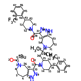 CC(C)(C)C(=O)N1CCCc2[nH]nc(C(=O)N3CCC(c4ccccc4C(F)(F)F)CC3CC(C)(C)N3CCCc4[nH]nc(C(=O)N5CCC(c6ccccc6C(F)(F)F)CC5)c4C3)c2C1